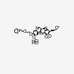 COCC#Cc1ccc(Nc2c(C#N)cnc3cc(OCCOCCN4CCCC4)c(OC)cc23)c2c1OCO2.Cl.Cl